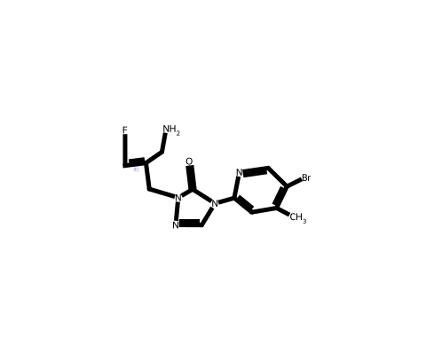 Cc1cc(-n2cnn(C/C(=C/F)CN)c2=O)ncc1Br